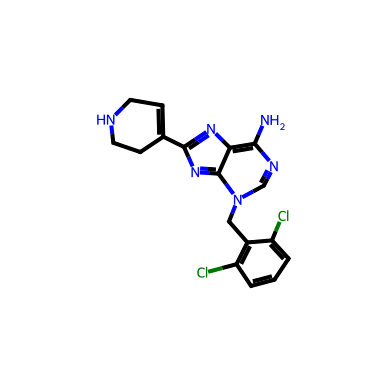 Nc1ncn(Cc2c(Cl)cccc2Cl)c2nc(C3=CCNCC3)nc1-2